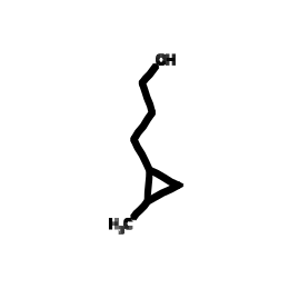 CC1CC1CCCO